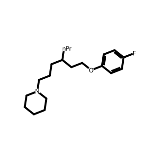 CCCC(CCCN1CCCCC1)CCOc1ccc(F)cc1